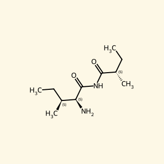 CC[C@H](C)C(=O)NC(=O)[C@@H](N)[C@@H](C)CC